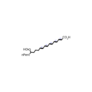 CCCCCC(CCC/C=C/C=C/C=C/C=C/C=C/C(=O)O)OO